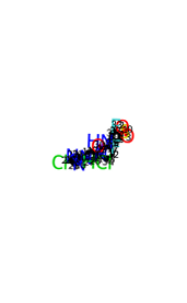 CS(=O)(=O)c1cc(F)c(N[C@H]2CCCCN(C3CCN(c4cnc(Cl)cn4)CC3)C2=O)cc1F.Cl